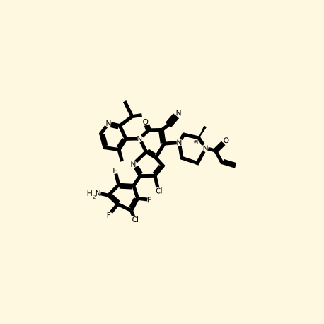 C=CC(=O)N1CCN(c2c(C#N)c(=O)n(-c3c(C)ccnc3C(C)C)c3nc(-c4c(F)c(N)c(F)c(Cl)c4F)c(Cl)cc23)C[C@H]1C